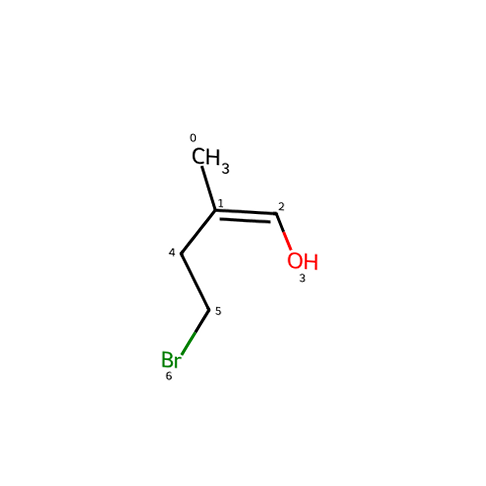 CC(=CO)CCBr